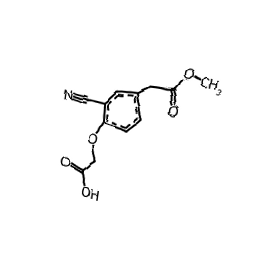 COC(=O)Cc1ccc(OCC(=O)O)c(C#N)c1